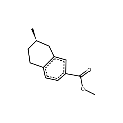 COC(=O)c1ccc2c(c1)C[C@H](C)CC2